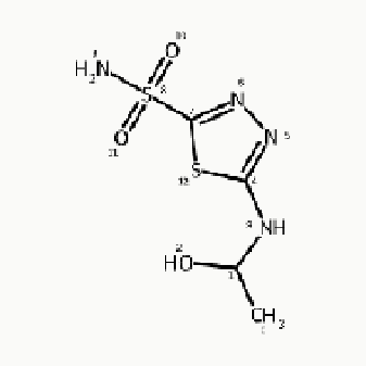 CC(O)Nc1nnc(S(N)(=O)=O)s1